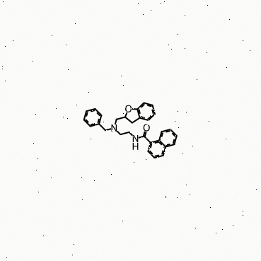 O=C(NCCN(Cc1ccccc1)CC1Cc2ccccc2O1)c1cccc2ccccc12